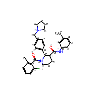 Cc1cccc(F)c1C(=O)N1CCCC(C(=O)Nc2cccc(C(C)(C)C)c2)[C@@H]1c1ccc(CN2CCCC2)cc1